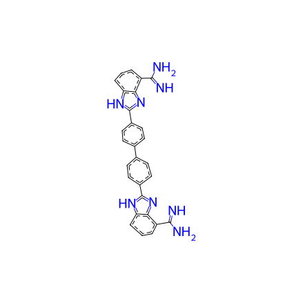 N=C(N)c1cccc2[nH]c(-c3ccc(-c4ccc(-c5nc6c(C(=N)N)cccc6[nH]5)cc4)cc3)nc12